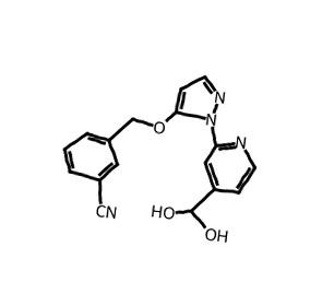 N#Cc1cccc(COc2ccnn2-c2cc(C(O)O)ccn2)c1